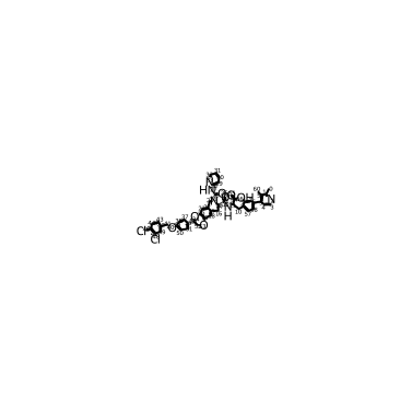 Cc1nccc(-c2ccc(CC(NC(=O)[C@@H]3Cc4cc5c(cc4CN3C(=O)Nc3ccccn3)O[C@@H](c3ccc(OCc4ccc(Cl)c(Cl)c4)cc3)CO5)C(=O)O)cc2)c1C